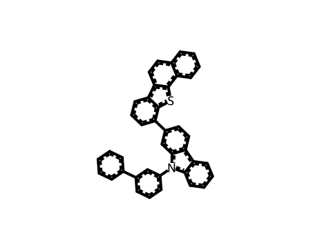 c1ccc(-c2cccc(-n3c4ccccc4c4ccc(-c5cccc6c5sc5c7ccccc7ccc65)cc43)c2)cc1